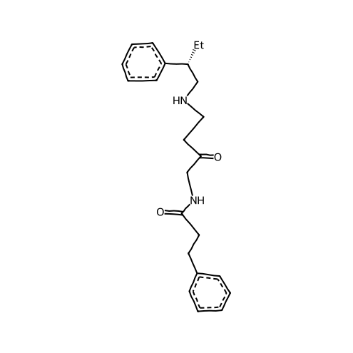 CC[C@H](CNCCC(=O)CNC(=O)CCc1ccccc1)c1ccccc1